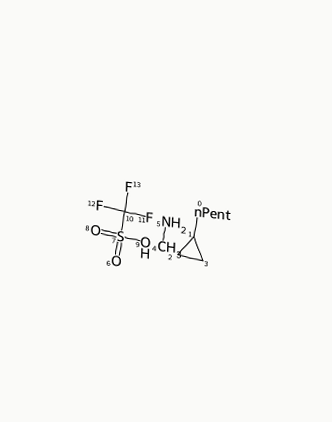 CCCCCC1CC1.CN.O=S(=O)(O)C(F)(F)F